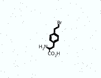 N[C@@H](Cc1ccc(CCBr)cc1)C(=O)O